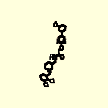 COc1cccc(-c2cnc(OCC(=O)NCC3CCCN(Cc4cccc(Cl)c4Cl)C3)nc2)c1